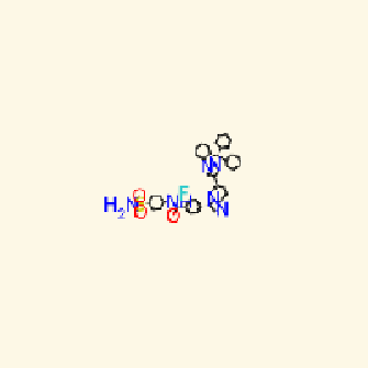 NS(=O)(=O)c1ccc(NC(=O)c2ccc(-c3cnc4ccc(-c5cnn(C(c6ccccc6)(c6ccccc6)c6ccccc6)c5)cn34)cc2F)cc1